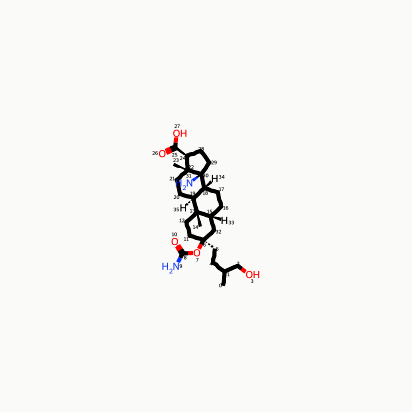 CC(CO)CC[C@]1(OC(N)=O)CC[C@@]2(C)[C@H](CC[C@@H]3[C@@H]2CC[C@]2(C)[C@@H](C(=O)O)CC[C@]32N)C1